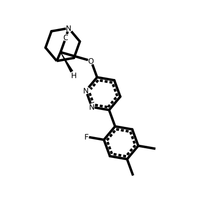 Cc1cc(F)c(-c2ccc(O[C@H]3CN4CCC3CC4)nn2)cc1C